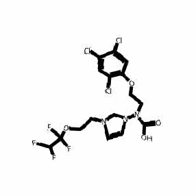 O=C(O)N(CCOc1cc(Cl)c(Cl)cc1Cl)N1C=CN(CCOC(F)(F)C(F)F)C1